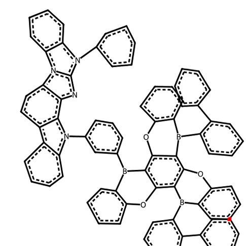 c1ccc(-c2ccccc2B2c3ccccc3Oc3c2c2c(c4c3B(c3ccccc3-c3ccccc3)c3ccccc3O4)B(c3cccc(-n4c5ccccc5c5ccc6c(nc7n(-c8ccccc8)c8ccccc8n67)c54)c3)c3ccccc3O2)cc1